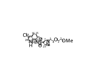 COCCOCCn1cc(S(=O)(=O)Nc2cccc3c(Cl)c[nH]c23)cn1